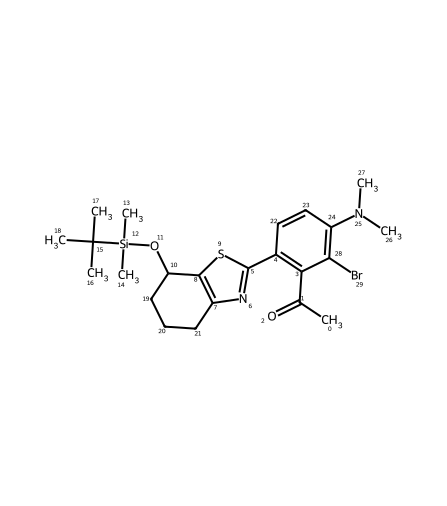 CC(=O)c1c(-c2nc3c(s2)C(O[Si](C)(C)C(C)(C)C)CCC3)ccc(N(C)C)c1Br